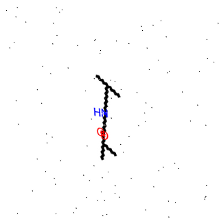 CCCCCCC(CCCCCC)CCCCCCCCCCNCCCCCCCC(=O)OCCCC(CCCCCC)CCCCCC